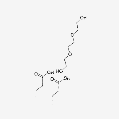 CCCC(=O)O.CCCC(=O)O.OCCOCCOCCO